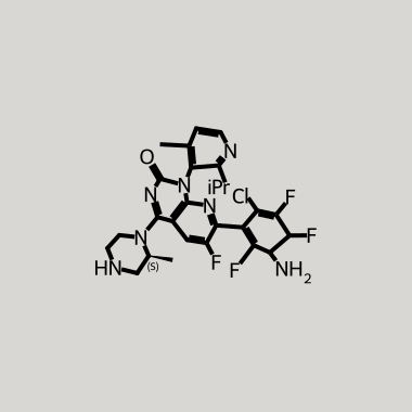 Cc1ccnc(C(C)C)c1-n1c(=O)nc(N2CCNC[C@@H]2C)c2cc(F)c(C3=C(F)C(N)C(F)C(F)=C3Cl)nc21